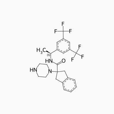 C[C@H](NC(=O)C1(N2CCNCC2)Cc2ccccc2C1)c1cc(C(F)(F)F)cc(C(F)(F)F)c1